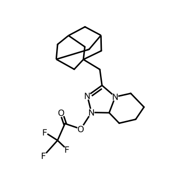 O=C(ON1N=C(CC23CC4CC(CC(C4)C2)C3)N2CCCCC12)C(F)(F)F